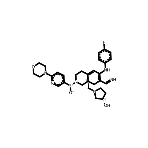 N=CC1=C(Nc2ccc(F)cc2)C=C2CCN([S+]([O-])c3ccc(N4CCOCC4)nc3)C[C@@]2(CN2CC[C@H](O)C2)C1